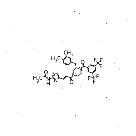 CC(=O)Nc1nc(/C=C/C(=O)N2CCN(C(=O)c3cc(C(F)(F)F)cc(C(F)(F)F)c3)[C@H](Cc3ccc(C)c(C)c3)C2)cs1